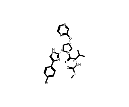 COC(=O)N[C@H](C(=O)N1C[C@@H](Oc2cnccn2)C[C@H]1c1nc(-c2ccc(Br)cc2)c[nH]1)C(C)C